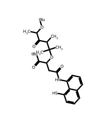 CC(OC(C)(C)C)C(=O)C(C)C(C)(C)OC(CC(=O)Nc1cccc2cccc(S)c12)C(=O)C(C)(C)C